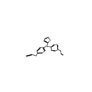 C=CCc1ccc(N(c2ccc(CC=C)cc2)c2cccs2)cc1